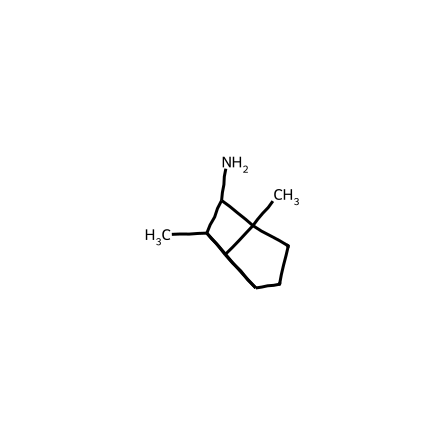 CC12CCC3C1C3(C)C2N